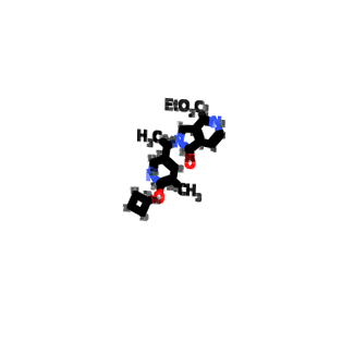 CCOC(=O)c1nccc2c1CN(C(C)c1cnc(OC3CCC3)c(C)c1)C2=O